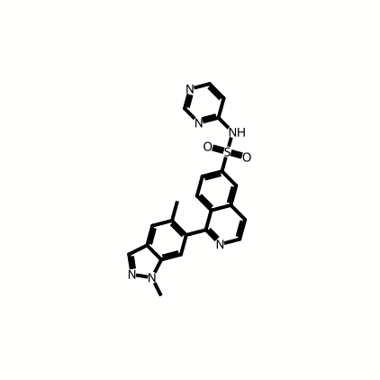 Cc1cc2cnn(C)c2cc1-c1nccc2cc(S(=O)(=O)Nc3ccncn3)ccc12